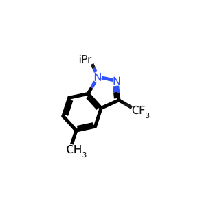 Cc1ccc2c(c1)c(C(F)(F)F)nn2C(C)C